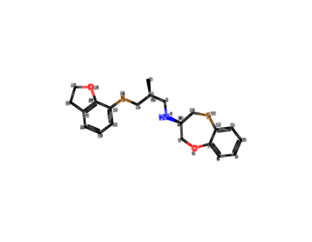 C[C@@H](CN[C@@H]1COc2ccccc2SC1)CSc1cccc2c1OCC2